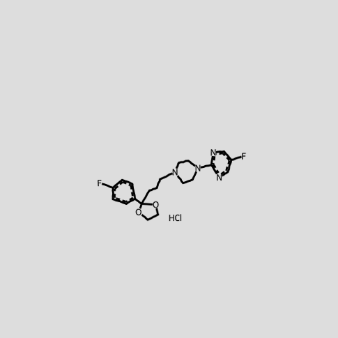 Cl.Fc1ccc(C2(CCCN3CCN(c4ncc(F)cn4)CC3)OCCO2)cc1